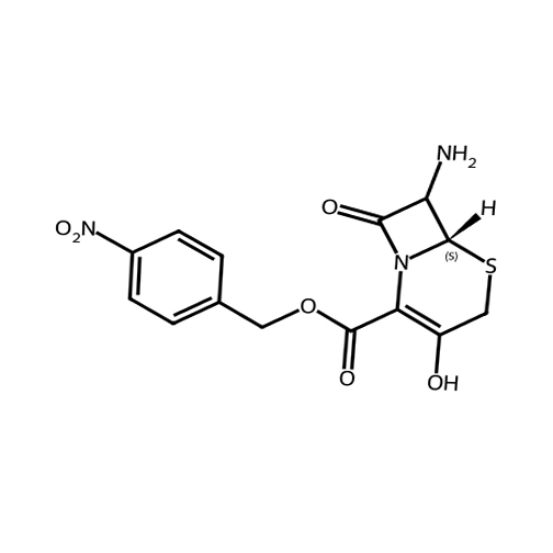 NC1C(=O)N2C(C(=O)OCc3ccc([N+](=O)[O-])cc3)=C(O)CS[C@@H]12